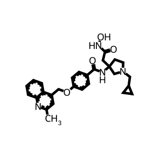 Cc1cc(COc2ccc(C(=O)NC3(CC(=O)NO)CCN(CC4CC4)C3)cc2)c2ccccc2n1